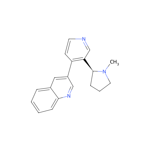 CN1CCC[C@H]1c1cnccc1-c1cnc2ccccc2c1